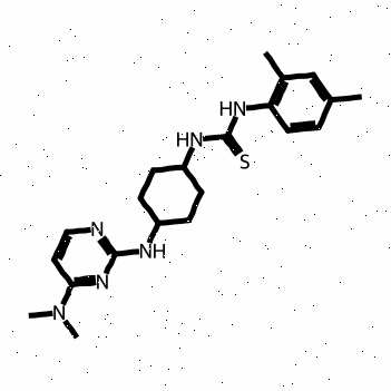 Cc1ccc(NC(=S)NC2CCC(Nc3nccc(N(C)C)n3)CC2)c(C)c1